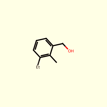 CCc1cccc([CH]O)c1C